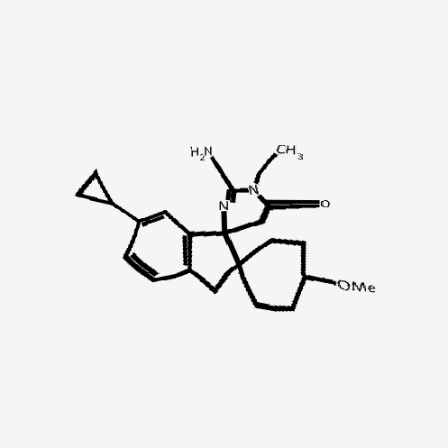 COC1CCC2(CC1)Cc1ccc(C3CC3)cc1C21CC(=O)N(C)C(N)=N1